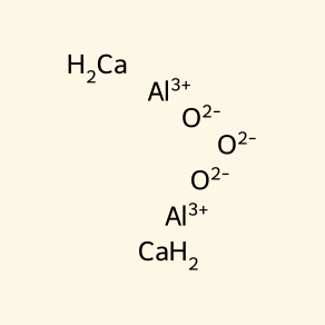 [Al+3].[Al+3].[CaH2].[CaH2].[O-2].[O-2].[O-2]